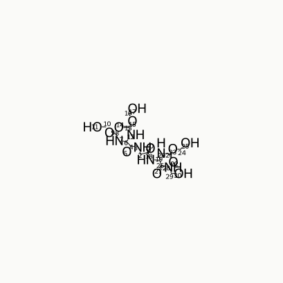 O=C(CNC(=O)C(NCOCO)NC(=O)OCO)NC(NC(=O)OCO)C(=O)NCO